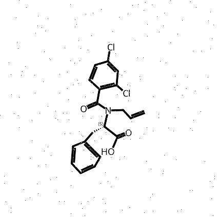 C=CCN(C(=O)c1ccc(Cl)cc1Cl)[C@@H](Cc1ccccc1)C(=O)O